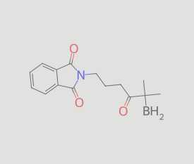 BC(C)(C)C(=O)CCCN1C(=O)c2ccccc2C1=O